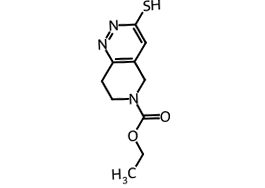 CCOC(=O)N1CCc2nnc(S)cc2C1